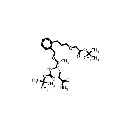 C[C@@H](OCc1ccccc1CCCOCC(=O)OC(C)(C)C)[C@H](CCC(N)=O)NC(=O)OC(C)(C)C